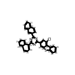 Clc1cc(-c2nc(-c3ccc4ccccc4c3)nc(-c3cccc4ccccc34)n2)cc2sc3ccccc3c12